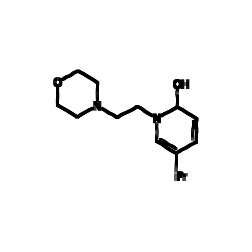 CC(C)C1=CN(CCN2CCOCC2)C(O)C=C1